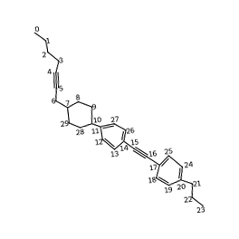 CCCCC#CCC1CCC(c2ccc(C#Cc3ccc(CCC)cc3)cc2)CC1